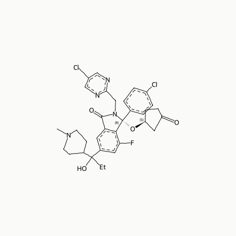 CCC(O)(c1cc(F)c2c(c1)C(=O)N(Cc1ncc(Cl)cn1)[C@@]2(O[C@H]1CCC(=O)C1)c1ccc(Cl)cc1)C1CCN(C)CC1